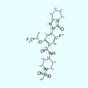 CC(Oc1cc(-n2nc3n(c2=O)CCCC3)c(F)cc1C(=O)NC1CCN(S(C)(=O)=O)CC1)C(F)(F)F